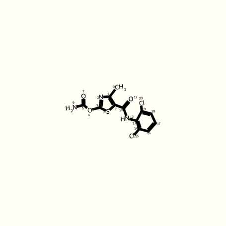 Cc1nc(OC(N)=O)sc1C(=O)Nc1c(Cl)cccc1Cl